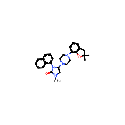 CCCCN1CC(N2CCN(c3cccc4c3OC(C)(C)C4)CC2)N(c2cccc3ccccc23)C1=O